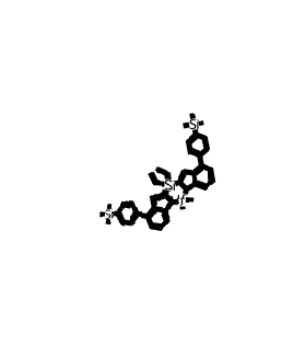 CC[Si]1(CC)C2=Cc3c(-c4ccc([Si](C)(C)C)cc4)cccc3[CH]2[Hf]([CH3])([CH3])[CH]2C1=Cc1c(-c3ccc([Si](C)(C)C)cc3)cccc12